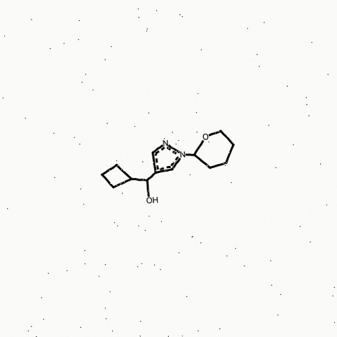 OC(c1cnn(C2CCCCO2)c1)C1CCC1